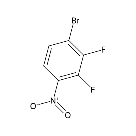 O=[N+]([O-])c1ccc(Br)c(F)c1F